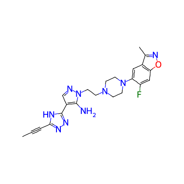 CC#Cc1nnc(-c2cnn(CCN3CCN(c4cc5c(C)noc5cc4F)CC3)c2N)[nH]1